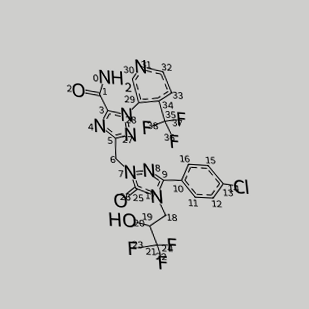 NC(=O)c1nc(Cn2nc(-c3ccc(Cl)cc3)n(CC(O)C(F)(F)F)c2=O)nn1-c1cnccc1C(F)(F)F